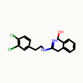 N=C(Cc1ccccc1CO)NCCc1ccc(Cl)c(Cl)c1